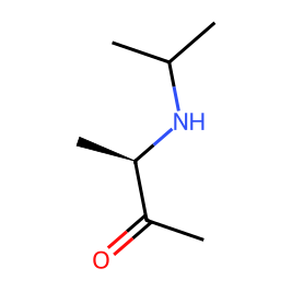 CC(=O)[C@@H](C)NC(C)C